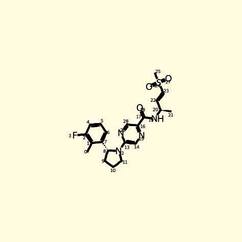 Cc1c(F)cccc1[C@H]1CCCN1c1cnc(C(=O)N[C@H](C)/C=C/S(C)(=O)=O)cn1